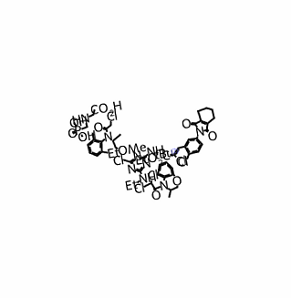 CC1COc2ccccc2N1C(=O)C(Cl)Cl.CCNc1nc(Cl)nc(NC(C)(C)C)n1.CCOC(=O)/C(Cl)=C/c1cc(N2C(=O)C3=C(CCCC3)C2=O)ccc1Cl.CCc1cccc(C)c1N(C(=O)CCl)C(C)COC.O=C(O)CNCP(=O)(O)O